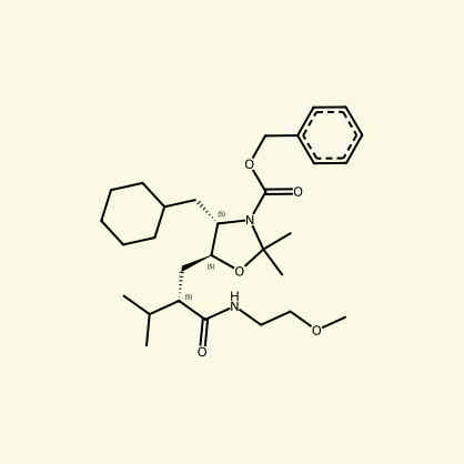 COCCNC(=O)[C@@H](C[C@@H]1OC(C)(C)N(C(=O)OCc2ccccc2)[C@H]1CC1CCCCC1)C(C)C